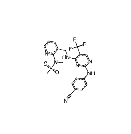 CN(c1ncccc1CNc1nc(Nc2ccc(C#N)cc2)ncc1C(F)(F)F)S(C)(=O)=O